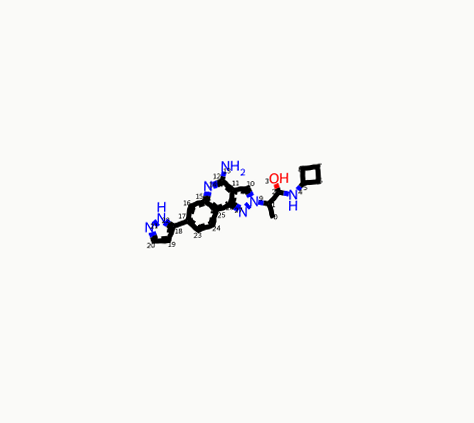 CC(C(O)NC1CCC1)n1cc2c(N)nc3cc(-c4ccn[nH]4)ccc3c2n1